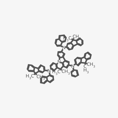 CC1(C)c2ccccc2-c2ccc(N(c3ccccc3)c3cc4c5c(c3)c3cc(N(c6ccc7c(c6)C(C)(C)c6ccccc6-7)c6cccc7ccccc67)ccc3n5-c3ccc(N(c5ccc6c(c5)C(C)(C)c5ccccc5-6)c5cccc6ccccc56)cc3C4(C)C)cc21